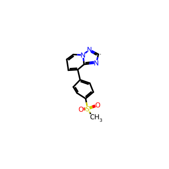 CS(=O)(=O)c1ccc(-c2cccn3n[c]nc23)cc1